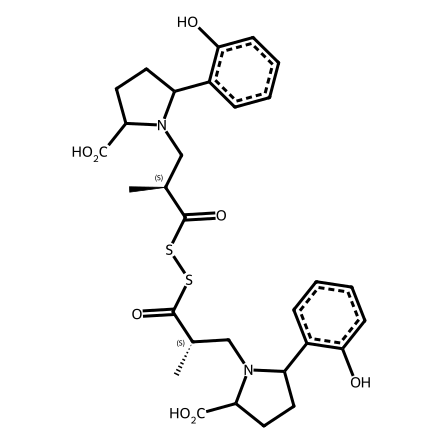 C[C@@H](CN1C(C(=O)O)CCC1c1ccccc1O)C(=O)SSC(=O)[C@@H](C)CN1C(C(=O)O)CCC1c1ccccc1O